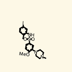 COc1ccc(S(=O)(=O)Nc2cc(I)ccc2C)cc1N1CCN(C)CC1